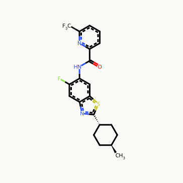 C[C@H]1CC[C@H](c2nc3cc(F)c(NC(=O)c4cccc(C(F)(F)F)n4)cc3s2)CC1